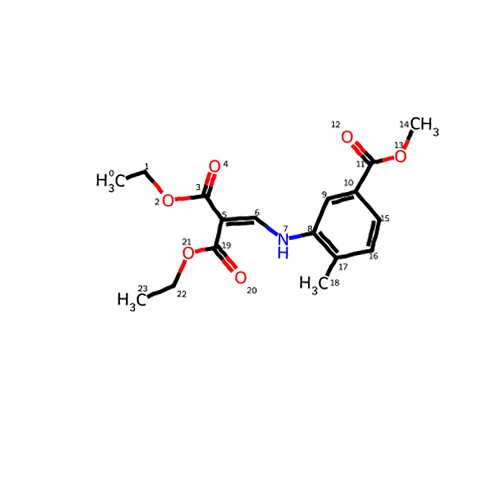 CCOC(=O)C(=CNc1cc(C(=O)OC)ccc1C)C(=O)OCC